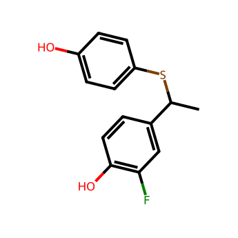 CC(Sc1ccc(O)cc1)c1ccc(O)c(F)c1